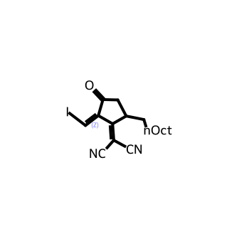 CCCCCCCCCC1CC(=O)/C(=C\I)C1=C(C#N)C#N